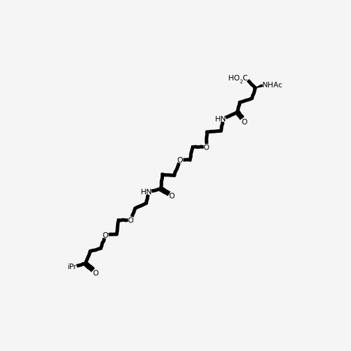 CC(=O)N[C@@H](CCC(=O)NCCOCCOCCC(=O)NCCOCCOCCC(=O)C(C)C)C(=O)O